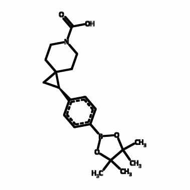 CC1(C)OB(c2ccc([C@H]3CC34CCN(C(=O)O)CC4)cc2)OC1(C)C